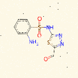 Nc1ccccc1S(=O)(=O)Nc1nnc(C=O)s1